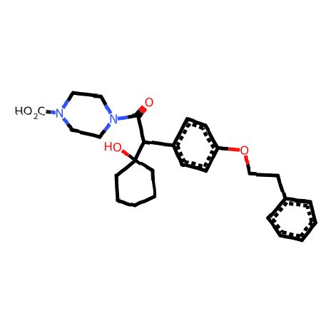 O=C(O)N1CCN(C(=O)C(c2ccc(OCCc3ccccc3)cc2)C2(O)CCCCC2)CC1